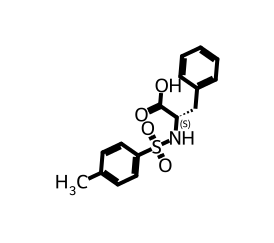 Cc1ccc(S(=O)(=O)N[C@@H](Cc2ccccc2)C(=O)O)cc1